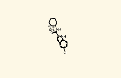 N[C@@H]1CCCC[C@@H]1NC(=O)c1cc2cc(Cl)ccc2[nH]1